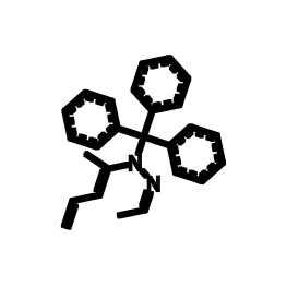 C=C/C=C(\C)N(/N=C\C)C(c1ccccc1)(c1ccccc1)c1ccccc1